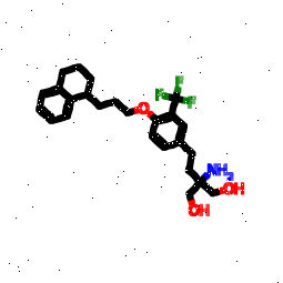 NC(CO)(CO)CCc1ccc(OCCCC2CCCc3ccccc32)c(C(F)(F)F)c1